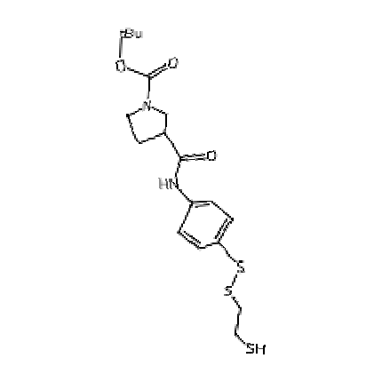 CC(C)(C)OC(=O)N1CCC(C(=O)Nc2ccc(SSCCS)cc2)C1